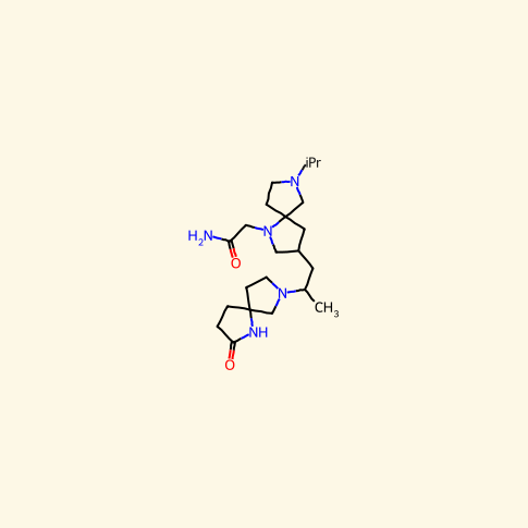 CC(C)N1CCC2(CC(CC(C)N3CCC4(CCC(=O)N4)C3)CN2CC(N)=O)C1